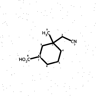 CC1(CC#N)CCCN(C(=O)O)C1